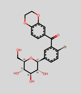 O=C(c1ccc2c(c1)OCCO2)c1cc([C@@H]2O[C@H](CO)[C@@H](O)[C@H](O)[C@H]2O)ccc1Br